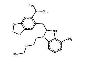 CN(C)c1cc2c(cc1SC1Nc3c(ccnc3N)N1CCNCC(C)(C)C)OCO2